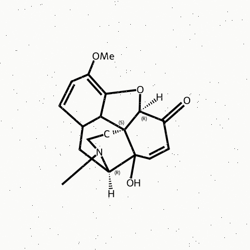 COC1=C2O[C@H]3C(=O)C=CC4(O)[C@H]5CC(C=C1)C2[C@@]34CCN5C